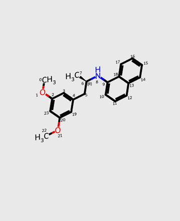 COc1cc(C[C@@H](C)Nc2cccc3ccccc23)cc(OC)c1